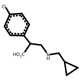 O=C(O)C(CNCC1CC1)c1ccc(Cl)cc1